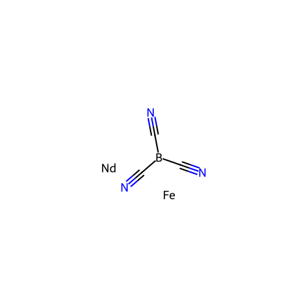 N#CB(C#N)C#N.[Fe].[Nd]